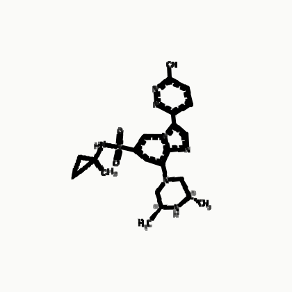 C[C@H]1CN(c2cc(S(=O)(=O)NC3(C)CC3)cn3c(-c4ccc(C#N)nn4)cnc23)C[C@H](C)N1